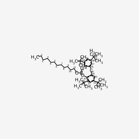 CCCCCCCCCCCCOP1Oc2c(cc(C(C)(C)C)cc2C(C)(C)C)Cc2cc(C(C)(C)C)cc(C(C)(C)C)c2O1